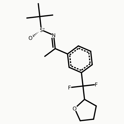 C/C(=N\[S@+]([O-])C(C)(C)C)c1cccc(C(F)(F)C2CCCO2)c1